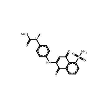 COC(=O)[C@@H](C)c1ccc(NC2=CC(=O)c3c(cccc3S(N)(=O)=O)C2=O)cc1